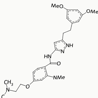 CNc1cc(OCCN(C)C)ccc1C(=O)Nc1cc(CCc2cc(OC)cc(OC)c2)[nH]n1